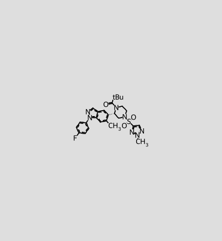 Cc1cc2c(cnn2-c2ccc(F)cc2)cc1[C@H]1CN(S(=O)(=O)c2cnn(C)n2)CCN1C(=O)C(C)(C)C